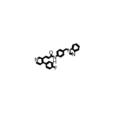 O=C(/C=C/c1cnccc1-c1ccc(F)cc1)Nc1ccc(Cn2cnc3ccccc32)cc1